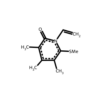 C=Cn1c(SC)c(C)c(C)c(C)c1=O